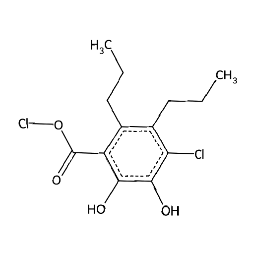 CCCc1c(Cl)c(O)c(O)c(C(=O)OCl)c1CCC